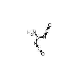 NN(N=C=O)N=C=O